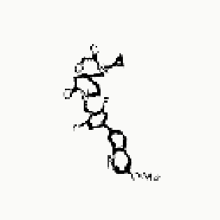 COc1cnc2cc(-c3cc(F)c(CN4CCC5(CC4=O)CN(C4CC4)C(=O)CO5)c(F)c3)ccc2c1